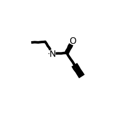 C#CC(=O)[N]CC